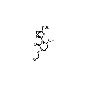 CCCCc1nnc(N2C(=O)N(CCBr)CCC2O)s1